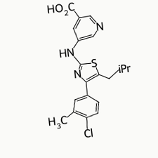 Cc1cc(-c2nc(Nc3cncc(C(=O)O)c3)sc2CC(C)C)ccc1Cl